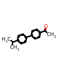 CC(=O)c1ccc(-c2ccc(C(C)C)cc2)cc1